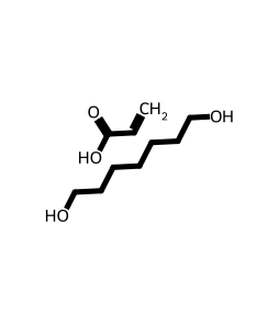 C=CC(=O)O.OCCCCCCCO